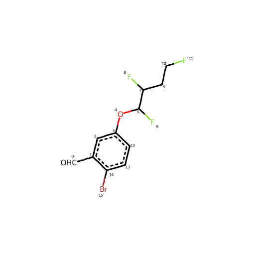 O=Cc1cc(OC(F)C(F)CCF)ccc1Br